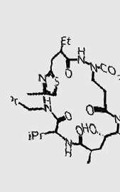 CCC(Cc1nc(C)cs1)C(=O)NN(CCC(=O)N[C@@H](CC(C)C)[C@@H](O)C[C@@H](C)C(=O)NC(C(=O)NCC(C)C)C(C)C)C(=O)O